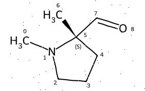 CN1CCC[C@@]1(C)C=O